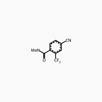 CNC(=O)c1ccc(C#N)cc1C(F)(F)F